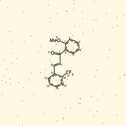 COc1ccccc1C(=O)/C=C/c1cccnc1C(F)(F)F